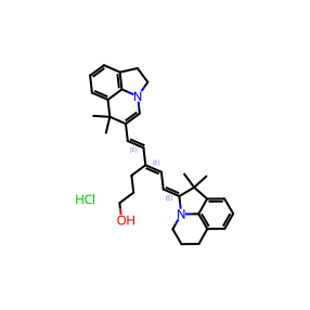 CC1(C)C(/C=C/C(=C/C=C2/N3CCCc4cccc(c43)C2(C)C)CCCO)=CN2CCc3cccc1c32.Cl